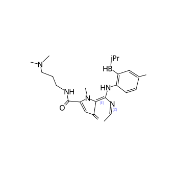 C=c1cc(C(=O)NCCCN(C)C)n(C)/c1=C(/N=C\C)Nc1ccc(C)cc1BC(C)C